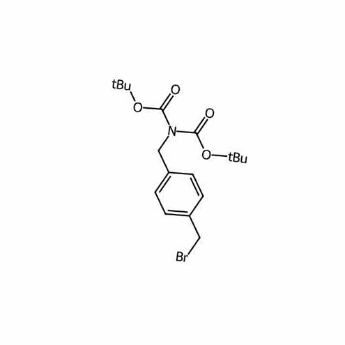 CC(C)(C)OC(=O)N(Cc1ccc(CBr)cc1)C(=O)OC(C)(C)C